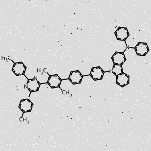 Cc1ccc(-c2cc(-c3cc(C)c(-c4ccc(-c5ccc(-n6c7ccccc7c7cc(N(c8ccccc8)c8ccccc8)ccc76)cc5)cc4)cc3C)nc(-c3ccc(C)cc3)n2)cc1